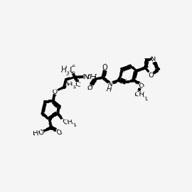 COc1cc(NC(=O)C(=O)NC(C)(C)CCOc2ccc(C(=O)O)c(C)c2)ccc1-c1cnco1